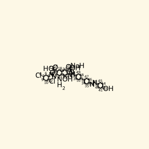 Nc1c(/N=N/c2cc(Cl)ccc2Cl)c(S(=O)(=O)O)cc2cc(S(=O)(=O)O)c(/N=N/c3ccc(-c4ccc(/N=N/c5ccc(O)cc5)cc4)cc3)c(O)c12.[NaH]